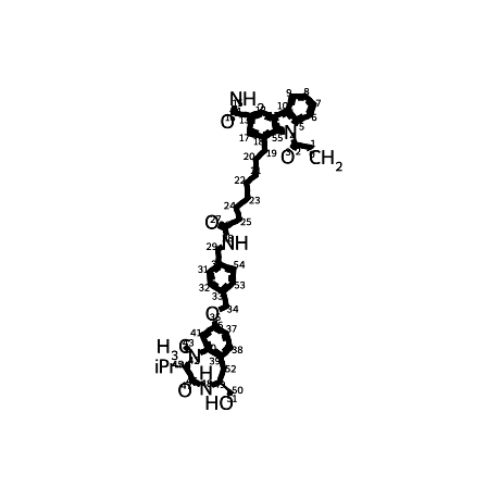 C=CC(=O)n1c2ccccc2c2cc(C(N)=O)cc(CCCCCCCC(=O)NCc3ccc(COc4ccc5c(c4)N(C)[C@@H](C(C)C)C(=O)N[C@H](CO)C5)cc3)c21